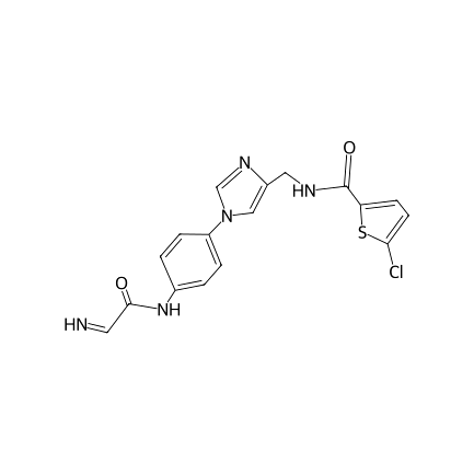 N=CC(=O)Nc1ccc(-n2cnc(CNC(=O)c3ccc(Cl)s3)c2)cc1